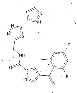 O=C(NCc1nnc(-c2ccn[nH]2)s1)c1cc(C(=O)c2c(F)cc(F)cc2F)c[nH]1